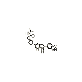 CC(C)NC(=O)O[C@@H]1CC[C@H](c2cnc3[nH]c(-c4ccc5c(cnn5C)c4)cc3c2)C1